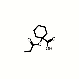 O=C(CI)OC1(C(=O)O)CCCCC1